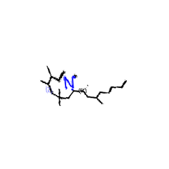 C=NC(CC(C)(C)/C=C(/C)C(C)CC)[C@H](C)CC(C)CCCCC